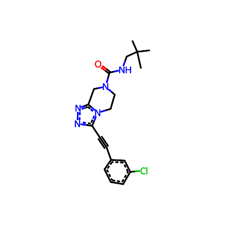 CC(C)(C)CNC(=O)N1CCn2c(C#Cc3cccc(Cl)c3)nnc2C1